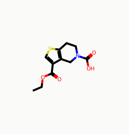 CCOC(=O)c1csc2c1CN(C(=O)O)CC2